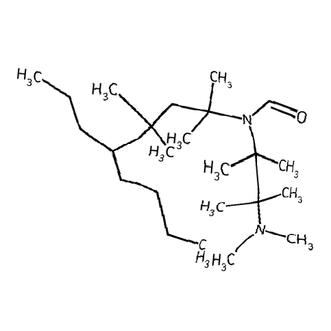 CCCCC(CCC)C(C)(C)CC(C)(C)N(C=O)C(C)(C)C(C)(C)N(C)C